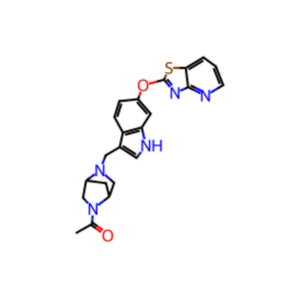 CC(=O)N1CC2CC1CN2Cc1c[nH]c2cc(Oc3nc4ncccc4s3)ccc12